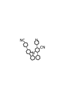 N#Cc1ccc(-c2ccc3c4ccccc4n(-c4cc(-c5ccncc5)c(C#N)cc4-c4ccccc4)c3c2)cc1